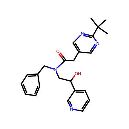 CC(C)(C)c1ncc(CC(=O)N(Cc2ccccc2)CC(O)c2cccnc2)cn1